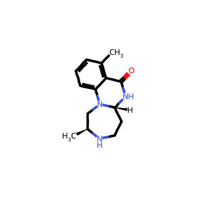 Cc1cccc2c1C(=O)N[C@@H]1CCN[C@@H](C)CN21